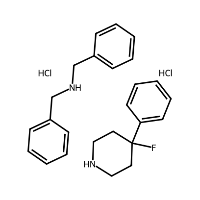 Cl.Cl.FC1(c2ccccc2)CCNCC1.c1ccc(CNCc2ccccc2)cc1